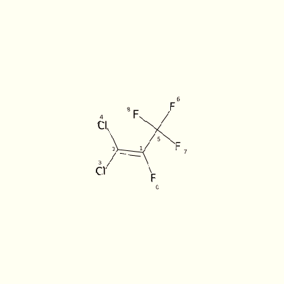 FC(=C(Cl)Cl)C(F)(F)F